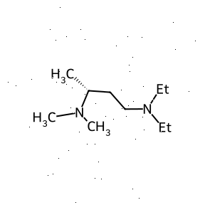 CCN(CC)CC[C@@H](C)N(C)C